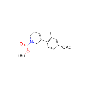 CC(=O)Oc1ccc(C2=CCCN(C(=O)OC(C)(C)C)C2)c(C)c1